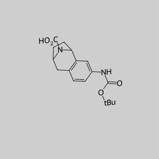 CC(C)(C)OC(=O)Nc1ccc2c(c1)C1CCC(C2)N1C(=O)O